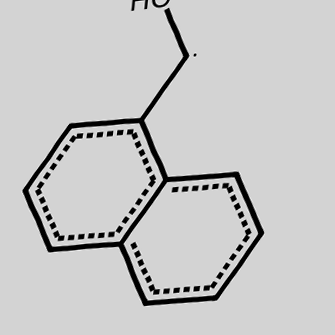 O[CH]c1cccc2ccccc12